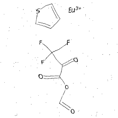 O=COC(=O)C(=O)C(F)(F)F.[Eu+3].c1ccsc1